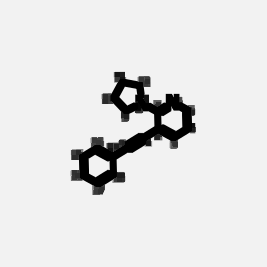 C(#Cc1cccnc1N1CCCC1)c1ccccc1